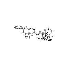 COc1ccc(-c2ccc3cc(C(=O)O)cc(O)c3c2)cc1C12CC3CC(CC(C3)C1)C2